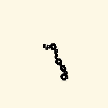 FC(F)(F)c1cccc(OCCCC2CCN(c3ccc(OC4CCCCO4)cc3)CC2)c1